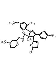 CCc1ccc(N2N=C(c3ccc(P)cc3)C(c3ccc(Cl)o3)C2(C)C(=O)NCC2CN(C)CCO2)c(C)c1